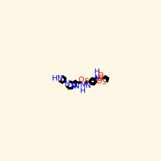 O=C(Nc1nc2ccc(NS(=O)(=O)c3cccs3)cc2s1)c1cc2n(n1)CCCN(C1CCNCC1)C2